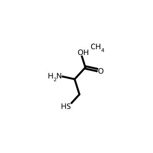 C.NC(CS)C(=O)O